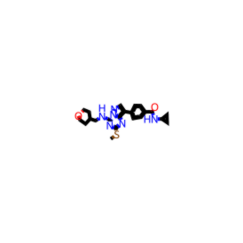 CSc1nc(NCC2CCOCC2)n2ncc(-c3ccc(C(=O)NC4CC4)cc3)c2n1